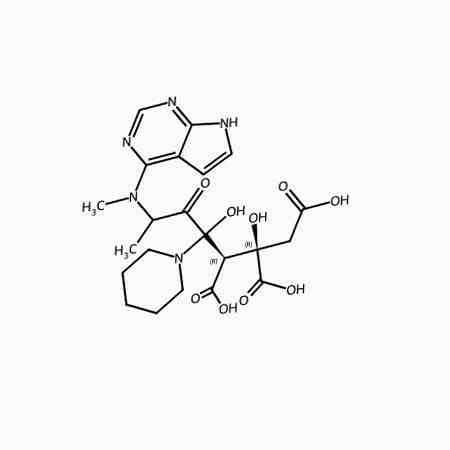 CC(C(=O)C(O)([C@H](C(=O)O)[C@](O)(CC(=O)O)C(=O)O)N1CCCCC1)N(C)c1ncnc2[nH]ccc12